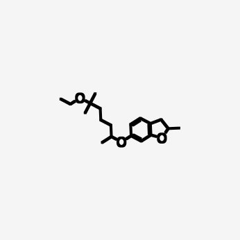 CCOC(C)(C)CCCC(C)Oc1ccc2c(c1)OC(C)C2